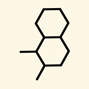 CC1CCC2CCCCC2C1C